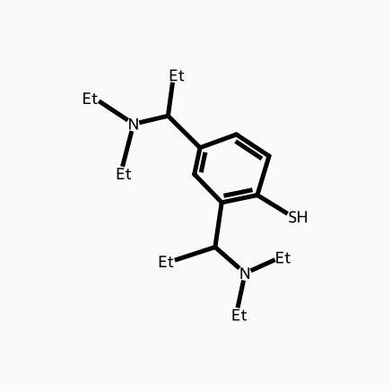 CCC(c1ccc(S)c(C(CC)N(CC)CC)c1)N(CC)CC